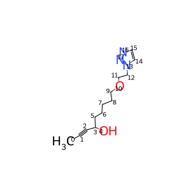 CC#CC(O)CCCCCOCCn1ccnn1